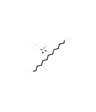 CCCCCCCCCCCCCCCCCCCCCC(=O)O.O=P(O)(O)O.[MgH2]